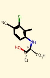 CC[C@H](O)[C@@H](Nc1ccc(C#N)c(Cl)c1C)C(=O)O